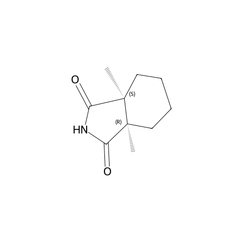 C[C@@]12CCCC[C@]1(C)C(=O)NC2=O